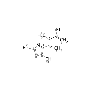 C=C(CC)/C(C)=C(\C)c1sc(Br)cc1C